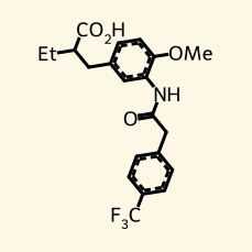 CCC(Cc1ccc(OC)c(NC(=O)Cc2ccc(C(F)(F)F)cc2)c1)C(=O)O